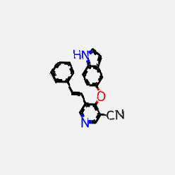 N#Cc1cncc(C=Cc2ccccc2)c1Oc1ccc2[nH]ccc2c1